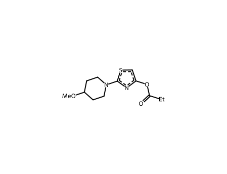 CCC(=O)Oc1csc(N2CCC(OC)CC2)n1